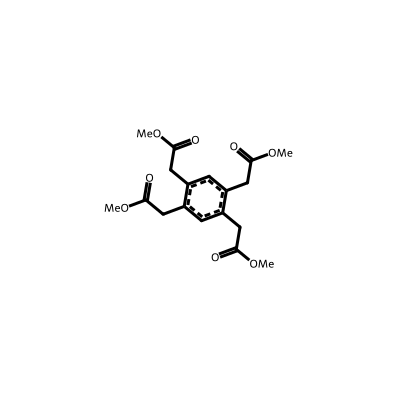 COC(=O)Cc1cc(CC(=O)OC)c(CC(=O)OC)cc1CC(=O)OC